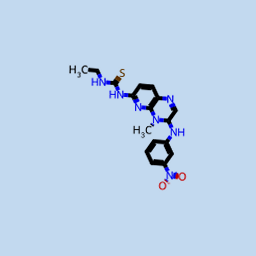 CCNC(=S)Nc1ccc2c(n1)N(C)C(Nc1cccc([N+](=O)[O-])c1)C=N2